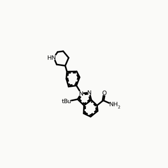 CC(C)(C)c1c2cccc(C(N)=O)c2nn1-c1ccc(C2CCCNC2)cc1